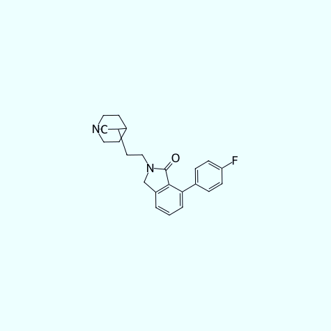 O=C1c2c(cccc2-c2ccc(F)cc2)CN1CCC1CN2CCC1CC2